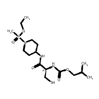 CCOP(C)(=O)N1CCC(NC(=O)[C@H](CS)NC(=O)OCC(C)C)CC1